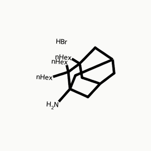 Br.CCCCCCC12CC3CC(CC(N)(C3)C1(CCCCCC)CCCCCC)C2